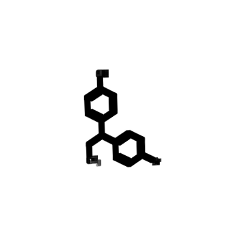 CC[C](c1ccc(O)cc1)c1ccc(Br)cc1